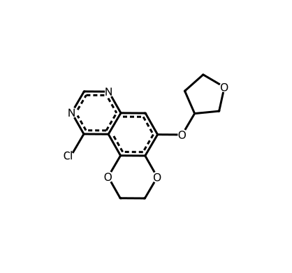 Clc1ncnc2cc(OC3CCOC3)c3c(c12)OCCO3